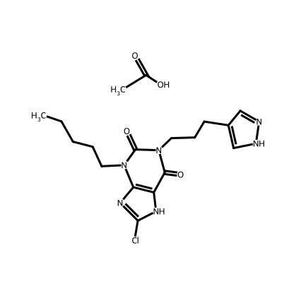 CC(=O)O.CCCCCn1c(=O)n(CCCc2cn[nH]c2)c(=O)c2[nH]c(Cl)nc21